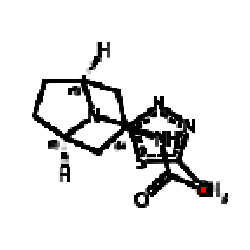 CC(=O)N[C@H]1C[C@H]2CC[C@@H](C1)N2c1nnc(Br)s1